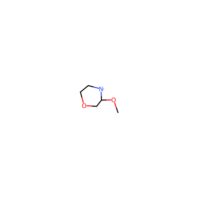 COC1COCC[N]1